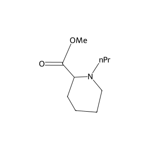 CCCN1CCCCC1C(=O)OC